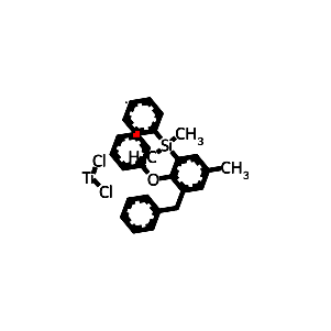 Cc1cc(Cc2ccccc2)c(Oc2ccccc2)c([Si](C)(C)c2cc[c]cc2)c1.[Cl][Ti][Cl]